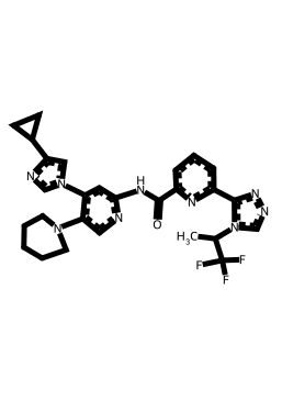 CC(n1cnnc1-c1cccc(C(=O)Nc2cc(-n3cnc(C4CC4)c3)c(N3CCCCC3)cn2)n1)C(F)(F)F